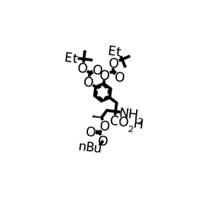 CCCCOC(=O)O[C@@H](C)CC(N)(Cc1ccc(OC(=O)OC(C)(C)CC)c(OC(=O)OC(C)(C)CC)c1)C(=O)O